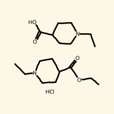 CCN1CCC(C(=O)O)CC1.CCOC(=O)C1CCN(CC)CC1.Cl